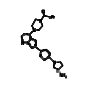 CCCC(=O)N1CCN(c2ccnn3cc(-c4ccc(N5CC[C@H](N)C5)cc4)cc23)CC1